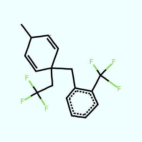 CC1[C]=CC(Cc2ccccc2C(F)(F)F)(CC(F)(F)F)C=C1